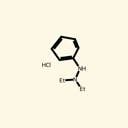 CCN(CC)Nc1ccccc1.Cl